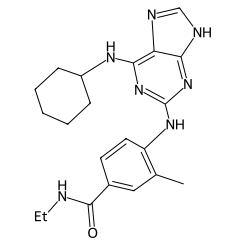 CCNC(=O)c1ccc(Nc2nc(NC3CCCCC3)c3nc[nH]c3n2)c(C)c1